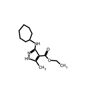 CCOC(=O)c1c(NC2CCCCCC2)n[nH]c1C